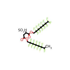 CC(F)C(F)(F)C(F)(F)C(F)(F)C(F)(F)C(F)(F)COC(=O)CC(C(=O)OCC(F)(F)C(F)(F)C(F)(F)C(F)(F)C(F)(F)C(F)F)S(=O)(=O)O